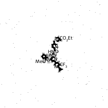 CCOC(=O)C1(C)CCN(Cc2ccc(C(=O)Nc3nc4nc(-c5cnc(C6CC6)c(C(F)(F)F)c5)cc(N(C)CC5(COC)CCCC5)c4[nH]3)nc2)C1